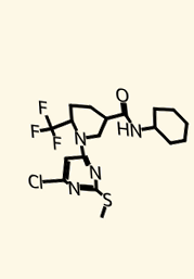 CSc1nc(Cl)cc(N2CC(C(=O)NC3CCCCC3)CCC2C(F)(F)F)n1